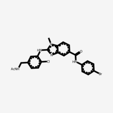 CC(=O)NCc1ccc(Cl)c(Nc2nc3cc(C(=O)Nc4ccc(Br)cc4)ccc3n2C)c1